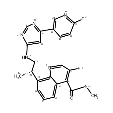 CNC(=O)c1c(F)cnc2c([C@H](C)CNc3cc(-c4ccc(F)nc4)ncn3)cccc12